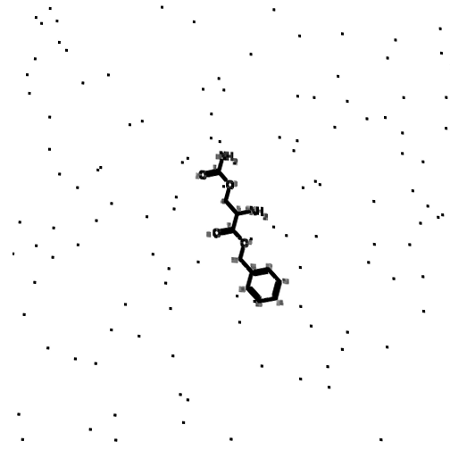 NC(=O)OCC(N)C(=O)OCc1ccccc1